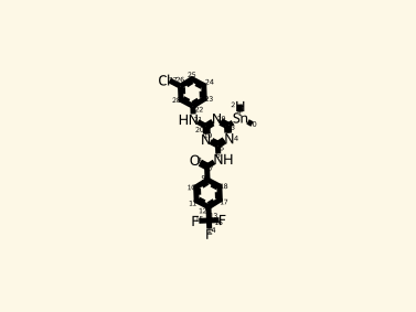 [CH3][SnH]([CH3])[c]1nc(NC(=O)c2ccc(C(F)(F)F)cc2)nc(Nc2cccc(Cl)c2)n1